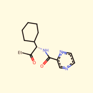 CCC(=O)[C@@H](NC(=O)c1cnccn1)C1CCCCC1